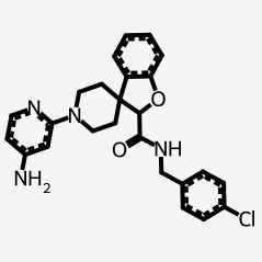 Nc1ccnc(N2CCC3(CC2)c2ccccc2OC3C(=O)NCc2ccc(Cl)cc2)c1